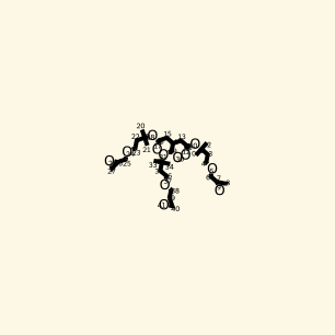 CC(C)(CCOCC1CO1)OC(=O)CC(CC(=O)OC(C)(C)CCOCC1CO1)C(=O)OC(C)(C)CCOCC1CO1